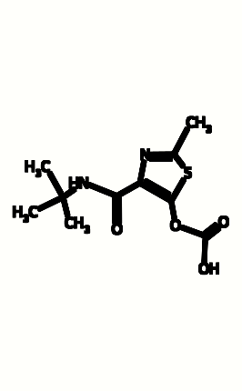 Cc1nc(C(=O)NC(C)(C)C)c(OC(=O)O)s1